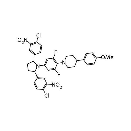 COc1ccc(C2CCN(c3c(F)cc(N4[C@@H](c5ccc(Cl)c([N+](=O)[O-])c5)CC[C@@H]4c4ccc(Cl)c([N+](=O)[O-])c4)cc3F)CC2)cc1